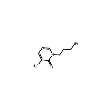 Cc1cccn(CCCC(C)C)c1=O